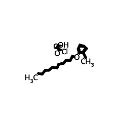 CCCCCCCCCCCCOc1ccccc1CC.O=S(=O)(O)Cl